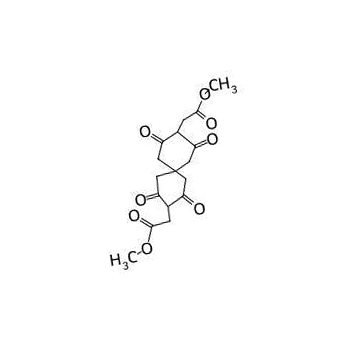 COC(=O)CC1C(=O)CC2(CC1=O)CC(=O)C(CC(=O)OC)C(=O)C2